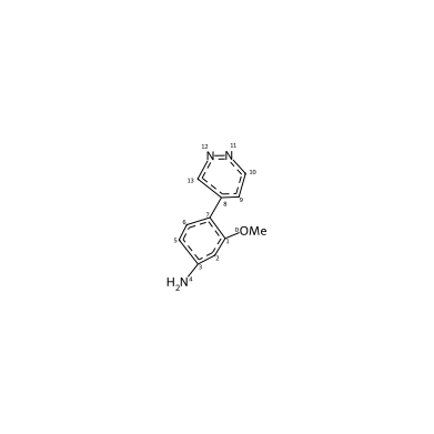 COc1cc(N)ccc1-c1ccnnc1